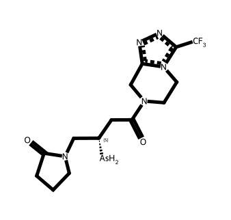 O=C(C[C@H]([AsH2])CN1CCCC1=O)N1CCn2c(nnc2C(F)(F)F)C1